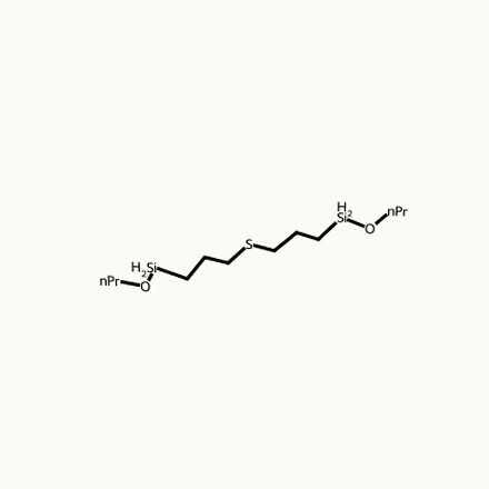 CCCO[SiH2]CCCSCCC[SiH2]OCCC